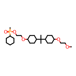 COCCOC1CCC(C(C)(C)C2CCC(OCCOP(C)(=O)C3CCCCC3)CC2)CC1